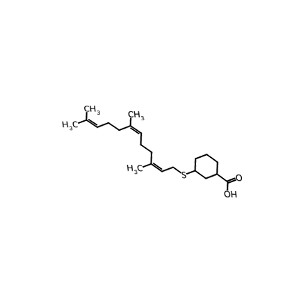 CC(C)=CCCC(C)=CCCC(C)=CCSC1CCCC(C(=O)O)C1